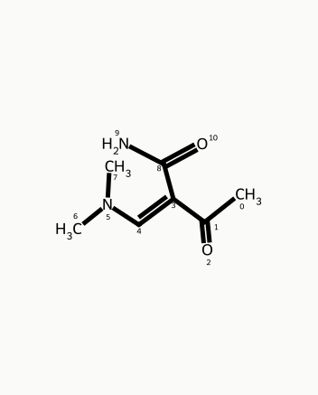 CC(=O)C(=CN(C)C)C(N)=O